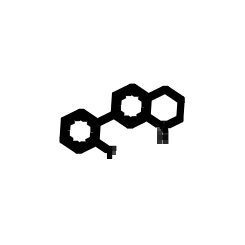 Fc1ccccc1-c1ccc2c(c1)NCCC2